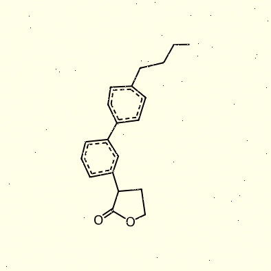 CCCCc1ccc(-c2cccc(C3CCOC3=O)c2)cc1